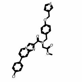 COC(=O)CN(Cc1ccc(OCc2ccsc2)cc1)C(=O)c1cn2ccc(-c3ccc(Cl)cc3)cc2n1